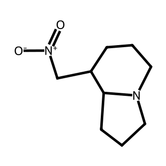 O=[N+]([O-])CC1CCCN2CCCC12